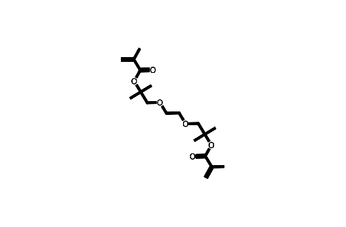 C=C(C)C(=O)OC(C)(C)COCCOCC(C)(C)OC(=O)C(=C)C